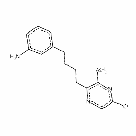 Nc1cccc(CCCCc2ncc(Cl)nc2[AsH2])c1